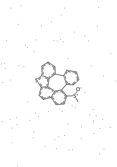 C[S+]([O-])c1ccc2ccc3sc4cccc5c4c3c2c1-c1ccccc1-5